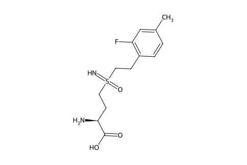 Cc1ccc(CCS(=N)(=O)CC[C@H](N)C(=O)O)c(F)c1